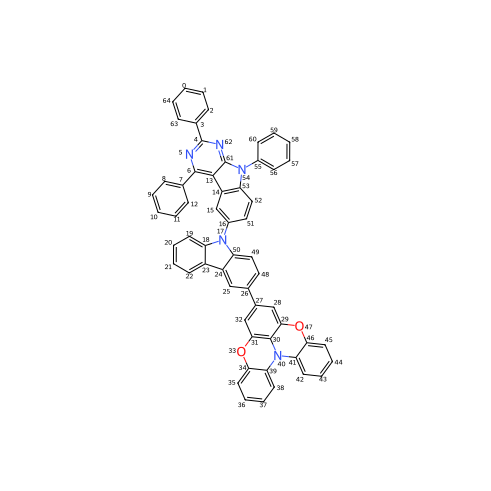 c1ccc(-c2nc(-c3ccccc3)c3c4cc(-n5c6ccccc6c6cc(-c7cc8c9c(c7)Oc7ccccc7N9c7ccccc7O8)ccc65)ccc4n(-c4ccccc4)c3n2)cc1